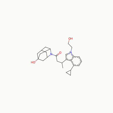 CC(CC(=O)N1C2CC3CC1CC(O)(C3)C2)c1cn(CCO)c2cccc(C3CC3)c12